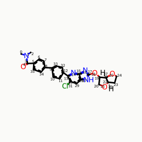 CN(C)C(=O)c1ccc(-c2ccc(-c3nc4nc(OC5CO[C@@H]6CCO[C@H]56)[nH]c4cc3Cl)cc2)cc1